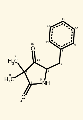 CC1(C)C(=O)NC(Cc2ccccc2)C1=O